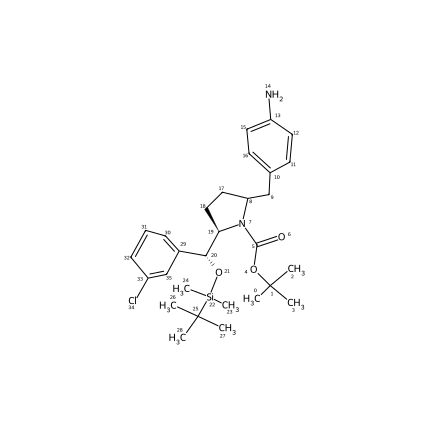 CC(C)(C)OC(=O)N1C(Cc2ccc(N)cc2)CC[C@@H]1[C@H](O[Si](C)(C)C(C)(C)C)c1cccc(Cl)c1